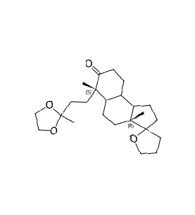 CC1(CC[C@]2(C)C(=O)CCC3C2CC[C@]2(C)C3CCC23CCCO3)OCCO1